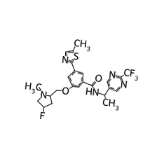 Cc1cnc(-c2cc(OCC3CC(F)CN3C)cc(C(=O)NC(C)c3cnc(C(F)(F)F)nc3)c2)s1